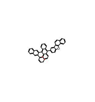 C1=CC(c2cc3ccccc3cc2-c2c3ccccc3c(-c3ccc4oc5c6ccccc6ccc5c4c3)c3ccccc23)=CCC1